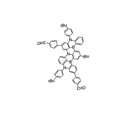 CC(C)(C)c1ccc(N2c3cc(-c4ccc(C=O)cc4)ccc3B3c4cc(C(C)(C)C)cc5c4N(c4cccc2c43)c2cc(-c3ccc(C=O)cc3)cc3c2B5c2ccccc2N3c2ccc(C(C)(C)C)cc2)cc1